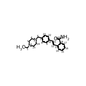 CCN1CCN(Cc2ccc(C=Cc3ccccc3C(N)=O)cc2)CC1